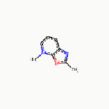 Cc1nc2ccc[n+](C)c2o1